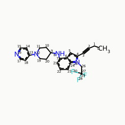 CCC#Cc1cc2c(NC3CCN(c4ccncc4)CC3)cccc2n1CC(F)(F)F